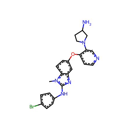 Cn1c(Nc2ccc(Br)cc2)nc2cc(Oc3ccn[c]c3N3CCC(N)C3)ccc21